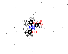 [2H]c1c([2H])c(C)c(-c2nc(-c3c(O)cc(C)c(C)c3C)n(-c3ccc(C(=O)O)c(C)c3)n2)c(O)c1[2H]